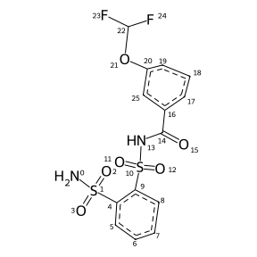 NS(=O)(=O)c1ccccc1S(=O)(=O)NC(=O)c1cccc(OC(F)F)c1